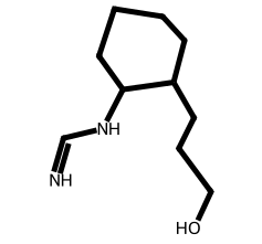 N=CNC1CCCCC1CCCO